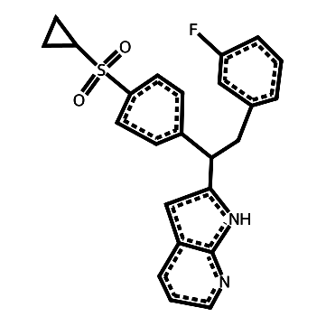 O=S(=O)(c1ccc(C(Cc2cccc(F)c2)c2cc3cccnc3[nH]2)cc1)C1CC1